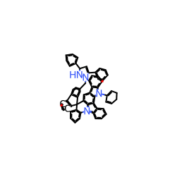 C1=CC(n2c3ccccc3c3cc4c5c(c6ccccc6n5-c5ccccc5C45c4ccccc4-c4ccc(CN6NC(c7ccccc7)C=C6c6ccccc6)cc45)c32)=CCC1